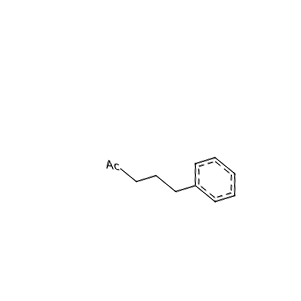 [CH2]C(=O)CCCc1ccccc1